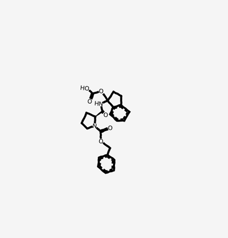 O=C(O)OC1(NC(=O)[C@@H]2CCCN2C(=O)OCc2ccccc2)CCc2ccccc21